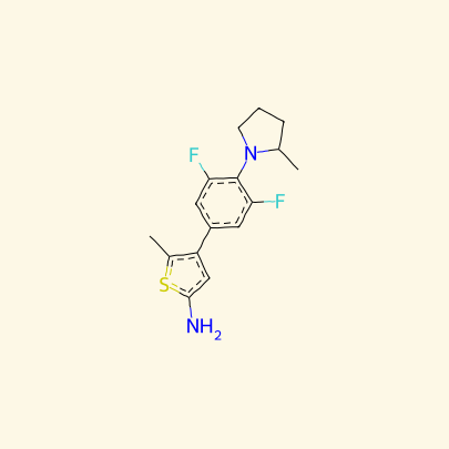 Cc1sc(N)cc1-c1cc(F)c(N2CCCC2C)c(F)c1